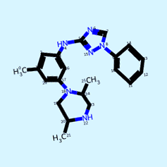 Cc1cc(Nc2ncn(-c3ccccc3)n2)cc(N2CC(C)NCC2C)c1